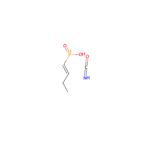 CCC=C[PH](=O)O.N=C=O